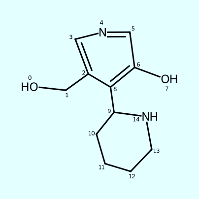 OCc1cncc(O)c1C1CCCCN1